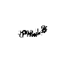 CC1(NCCOc2ccc(Cl)c(Cl)c2)C=C(NC(=O)COc2ccc(Cl)c(Cl)c2)C1